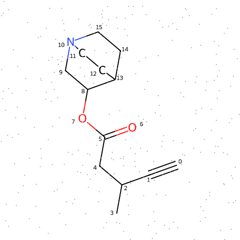 C#CC(C)CC(=O)OC1CN2CCC1CC2